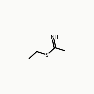 CCSC(C)=N